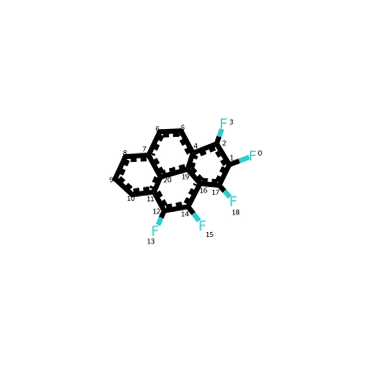 Fc1c(F)c2ccc3cccc4c(F)c(F)c(c1F)c2c34